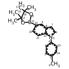 Cc1ccc(-n2ccc3cc(B4OC(C)(C)C(C)(C)O4)ccc32)cc1